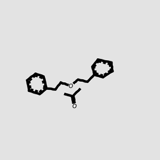 CC(C)=O.c1ccc(CCOCCc2ccccc2)cc1